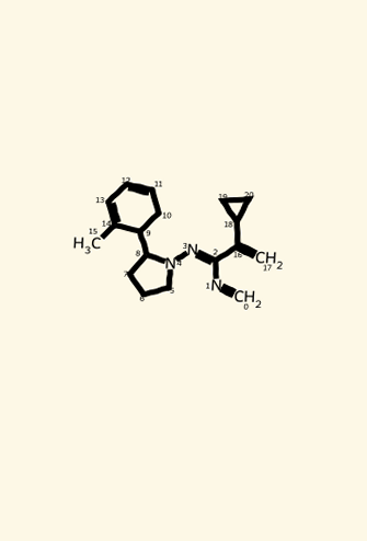 C=N/C(=N\N1CCCC1C1CC=CC=C1C)C(=C)C1CC1